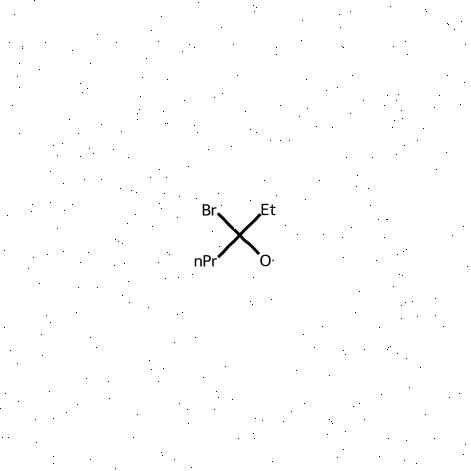 CCCC([O])(Br)CC